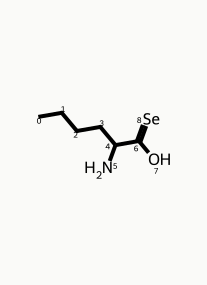 CCCCC(N)C(O)=[Se]